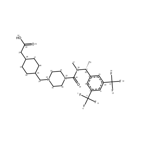 C[C@H](c1cc(C(F)(F)F)cc(C(F)(F)F)c1)N(C)C(=O)N1CCN(CC2CCC(CC(=O)O)CC2)CC1